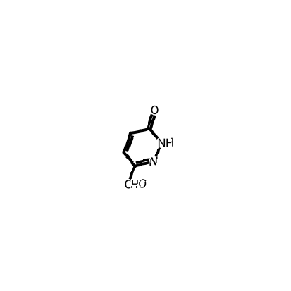 O=Cc1ccc(=O)[nH]n1